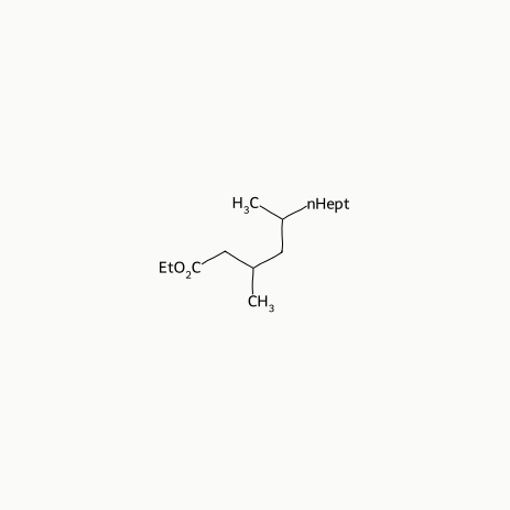 CCCCCCCC(C)CC(C)CC(=O)OCC